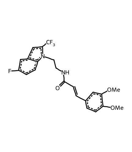 COc1ccc(C=CC(=O)NCCn2c(C(F)(F)F)cc3cc(F)ccc32)cc1OC